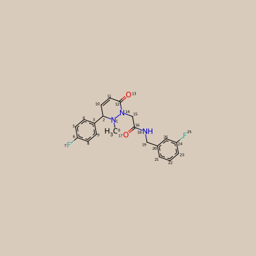 CN1C(c2ccc(F)cc2)C=CC(=O)N1CC(=O)NCc1cccc(F)c1